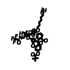 [2H]OCCCCCCOP(=O)(OCCCCNC(=O)C(F)(F)F)c1ccc2c(c1)C1(OC2=O)c2ccc(OC(=O)C(C)(C)C)cc2Oc2cc(OC(=O)C(C)(C)C)ccc21